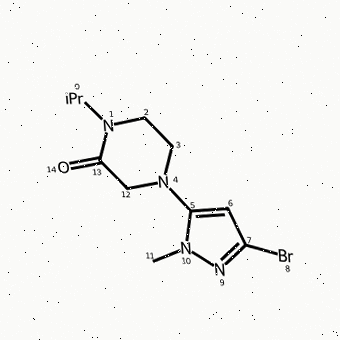 CC(C)N1CCN(c2cc(Br)nn2C)CC1=O